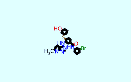 Cc1ccc2c(Nc3cc(C(=O)Nc4cccc(Br)c4)ccc3Sc3cccc(O)c3)ncnc2n1